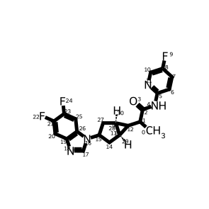 CC(C(=O)Nc1ccc(F)cn1)C1[C@H]2CC(n3cnc4cc(F)c(F)cc43)C[C@@H]12